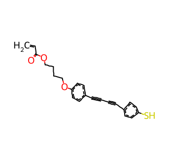 C=CC(=O)OCCCCOc1ccc(C#CC#Cc2ccc(S)cc2)cc1